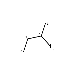 CCC(C)I